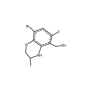 CC1COc2c(Br)cc(F)c(CO)c2N1